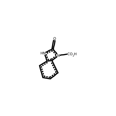 O=C(O)n1c(=O)[nH]c2ccccc21